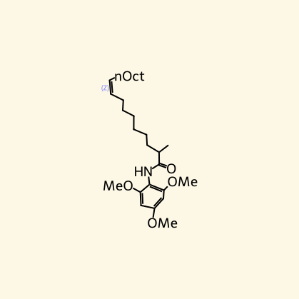 CCCCCCCC/C=C\CCCCCCC(C)C(=O)Nc1c(OC)cc(OC)cc1OC